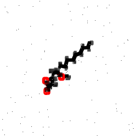 CCCCCCCCC[C@@H](C[C@@H]1CC(=O)O1)OC